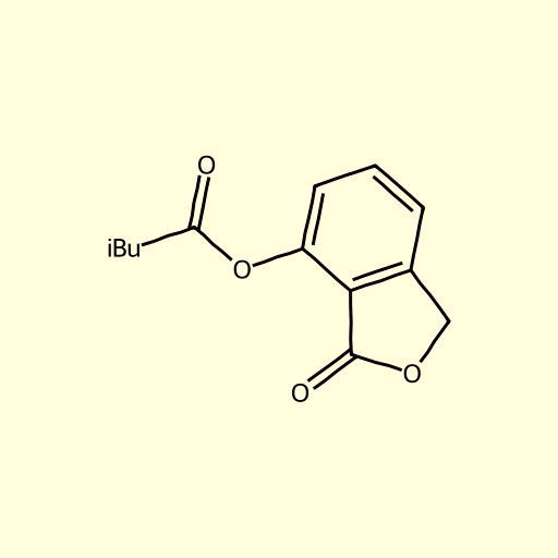 CCC(C)C(=O)Oc1cccc2c1C(=O)OC2